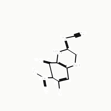 N#CN=C1CNC2=C(N1)C(=O)C([N+](=O)[O-])C(F)=C2